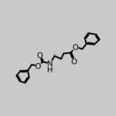 O=C(CC[CH]NC(=O)OCc1ccccc1)OCc1ccccc1